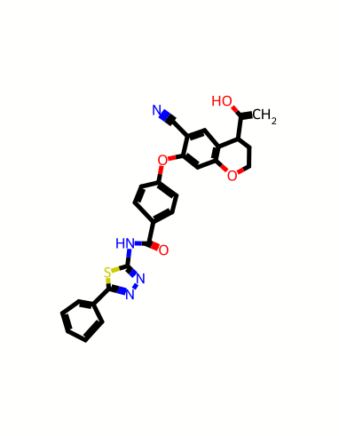 C=C(O)C1CCOc2cc(Oc3ccc(C(=O)Nc4nnc(-c5ccccc5)s4)cc3)c(C#N)cc21